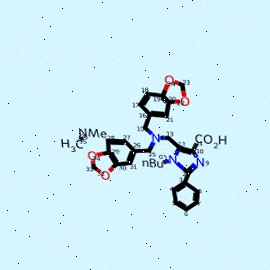 CCCCn1c(-c2ccccc2)nc(C(=O)O)c1CN(Cc1ccc2c(c1)OCO2)Cc1ccc2c(c1)OCO2.CNC